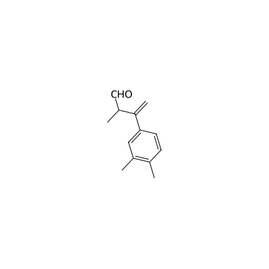 C=C(c1ccc(C)c(C)c1)C(C)C=O